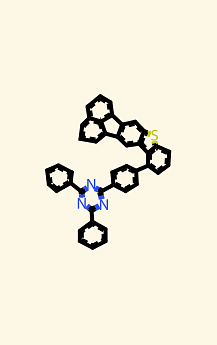 c1ccc(-c2nc(-c3ccccc3)nc(-c3ccc(-c4cccc5sc6cc7c(cc6c45)-c4cccc5cccc-7c45)cc3)n2)cc1